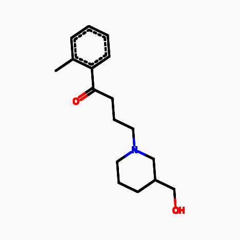 Cc1ccccc1C(=O)CCCN1CCCC(CO)C1